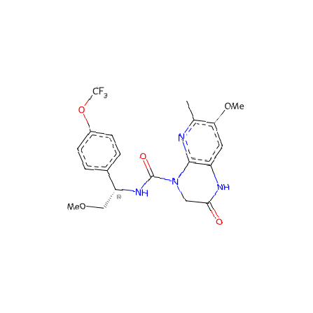 COC[C@@H](NC(=O)N1CC(=O)Nc2cc(OC)c(C)nc21)c1ccc(OC(F)(F)F)cc1